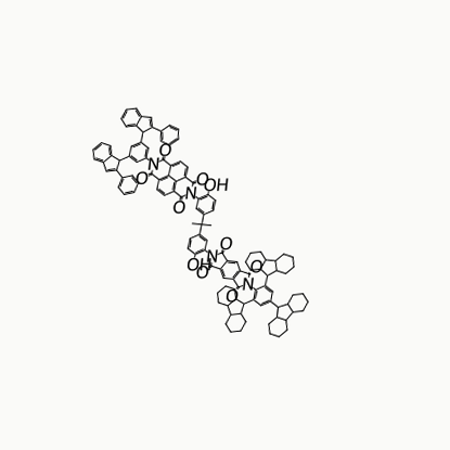 CC(C)(c1ccc(O)c(N2C(=O)c3ccc4c5c(ccc(c35)C2=O)C(=O)N(c2cc(C3C(c5ccccc5)=Cc5ccccc53)cc(C3C(c5ccccc5)=Cc5ccccc53)c2)C4=O)c1)c1ccc(O)c(-n2c(=O)c3cc4c(=O)n(-c5c(C6C7CCCCC7C7CCCCC76)cc(C6C7CCCCC7C7CCCCC76)cc5C5C6CCCCC6C6CCCCC65)c(=O)c4cc3c2=O)c1